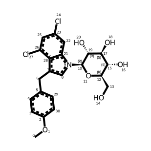 COc1ccc(Cc2cn([C@@H]3O[C@H](CO)[C@@H](O)[C@H](O)[C@H]3O)c3cc(Cl)cc(Cl)c23)cc1